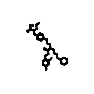 CCOC(Cc1ccc(OCCN(CCCCC2CCCCC2)C(=O)OCc2ccc(F)cc2F)cc1)C(=O)O